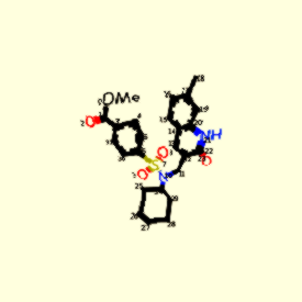 COC(=O)c1ccc(S(=O)(=O)N(Cc2cc3ccc(C)cc3[nH]c2=O)C2CCCCC2)cc1